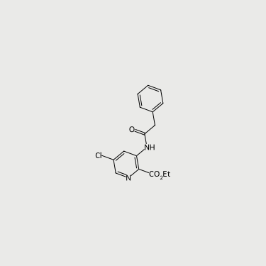 CCOC(=O)c1ncc(Cl)cc1NC(=O)Cc1ccccc1